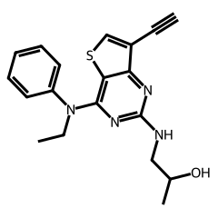 C#Cc1csc2c(N(CC)c3ccccc3)nc(NCC(C)O)nc12